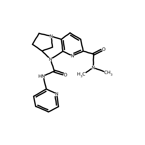 CN(C)C(=O)c1ccc2c(n1)N(C(=O)Nc1ccccn1)C1CCN2C1